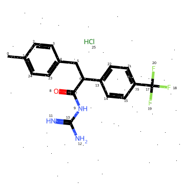 Cc1ccc(CC(C(=O)NC(=N)N)c2ccc(C(F)(F)F)cc2)cc1.Cl